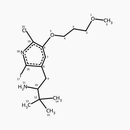 COCCCOc1cc(CC(N)C(C)(C)C)c(I)nc1Cl